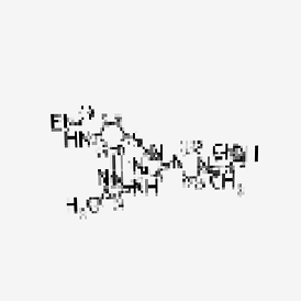 CCC(=O)Nc1ccc(Sc2nc(Nc3cc(C)n[nH]3)cc(N3CCN(C(C)(C)CO)CC3)n2)cc1